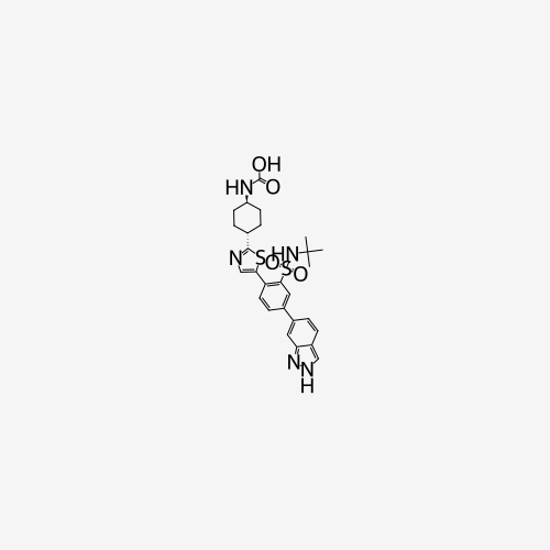 CC(C)(C)NS(=O)(=O)c1cc(-c2ccc3c[nH]nc3c2)ccc1-c1cnc([C@H]2CC[C@H](NC(=O)O)CC2)s1